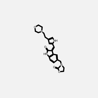 O=C1Nc2ccc(CN3CCOC3=O)cc2/C1=C/c1cc(CCN2CCOCC2)c[nH]1